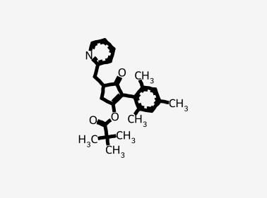 Cc1cc(C)c(C2=C(OC(=O)C(C)(C)C)CC(Cc3ccccn3)C2=O)c(C)c1